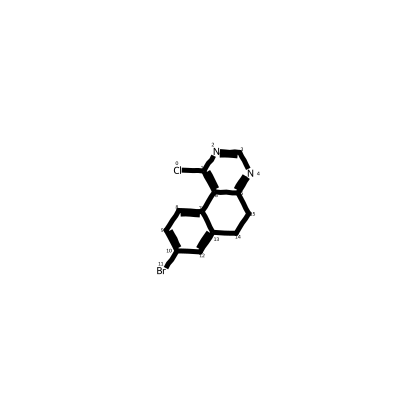 Clc1ncnc2c1-c1ccc(Br)cc1CC2